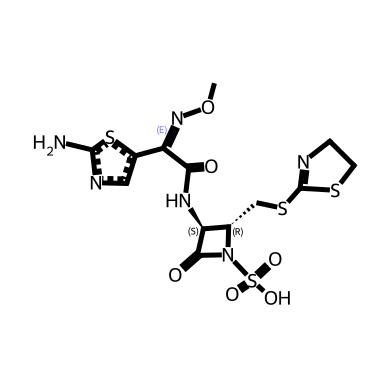 CO/N=C(\C(=O)N[C@@H]1C(=O)N(S(=O)(=O)O)[C@H]1CSC1=NCCS1)c1cnc(N)s1